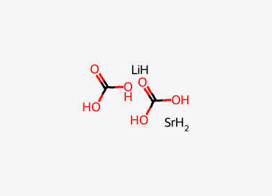 O=C(O)O.O=C(O)O.[LiH].[SrH2]